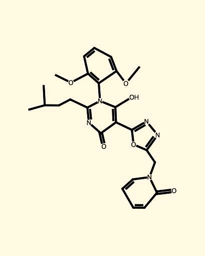 COc1cccc(OC)c1-n1c(CCC(C)C)nc(=O)c(-c2nnc(Cn3ccccc3=O)o2)c1O